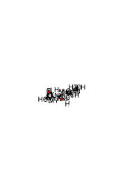 O=P(O)(O)OC[C@H]1O[C@@H](n2cnc3c(NCc4cc(Cl)cc(O)c4O)ncnc32)[C@H](O)[C@@H]1O